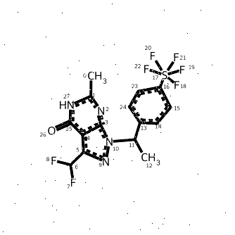 Cc1nc2c(c(C(F)F)nn2C(C)c2ccc(S(F)(F)(F)(F)F)cc2)c(=O)[nH]1